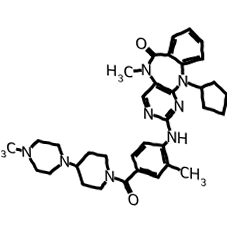 Cc1cc(C(=O)N2CCC(N3CCN(C)CC3)CC2)ccc1Nc1ncc2c(n1)N(C1CCCC1)c1ccccc1C(=O)N2C